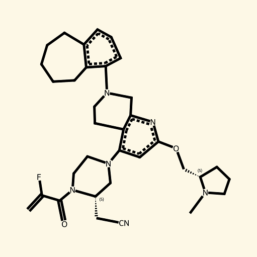 C=C(F)C(=O)N1CCN(c2cc(OC[C@@H]3CCCN3C)nc3c2CCN(c2cccc4c2CCCCC4)C3)C[C@@H]1CC#N